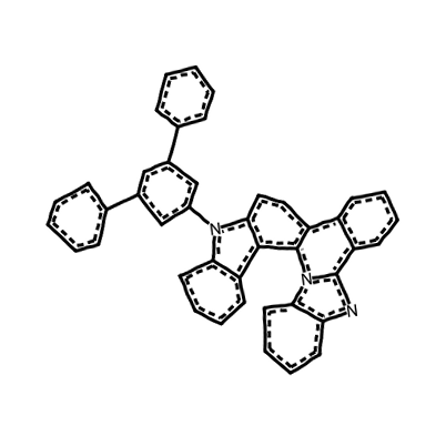 c1ccc(-c2cc(-c3ccccc3)cc(-n3c4ccccc4c4c3ccc3c5ccccc5c5nc6ccccc6n5c34)c2)cc1